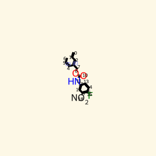 C=C/C=C(\C=C/C)COC(=O)Nc1ccc(F)c([N+](=O)[O-])c1